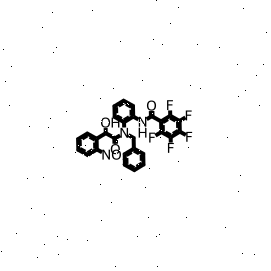 O=C(Nc1ccccc1N(Cc1ccccc1)C(=O)C(O)c1ccccc1[N+](=O)[O-])c1c(F)c(F)c(F)c(F)c1F